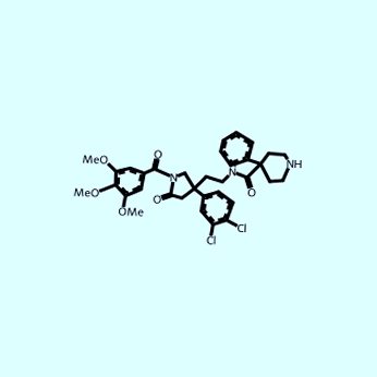 COc1cc(C(=O)N2CC(CCNC(=O)C3(c4ccccc4)CCNCC3)(c3ccc(Cl)c(Cl)c3)CC2=O)cc(OC)c1OC